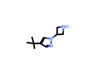 CC(C)(C)c1cnn(C2CNC2)c1